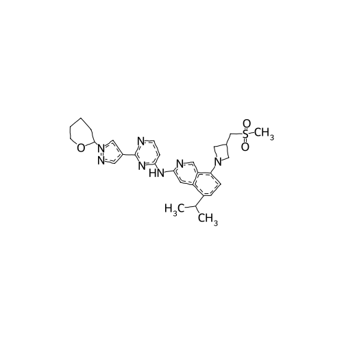 CC(C)c1ccc(N2CC(CS(C)(=O)=O)C2)c2cnc(Nc3ccnc(-c4cnn(C5CCCCO5)c4)n3)cc12